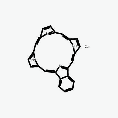 C1=Cc2cc3ccc(cc4nc(cc5ccc(cc1n2)[nH]5)-c1ccccc1-4)[nH]3.[Cu+]